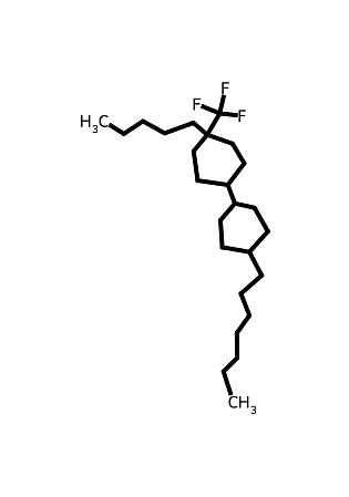 CCCCCCCC1CCC(C2CCC(CCCCC)(C(F)(F)F)CC2)CC1